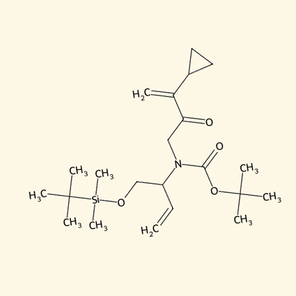 C=CC(CO[Si](C)(C)C(C)(C)C)N(CC(=O)C(=C)C1CC1)C(=O)OC(C)(C)C